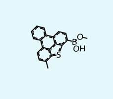 COB(O)c1ccc2c3ccccc3c3ccc(C)c4sc1c2c43